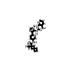 C[C@@H](OC(=O)Nc1c(-c2ccc(NC(=O)C3(C(F)(F)F)CC4(CCC4)C3)cn2)nnn1C)c1cccnc1Cl